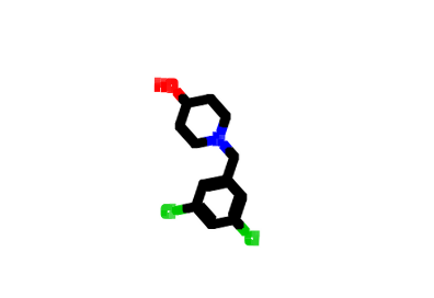 OC1CCN(Cc2cc(Cl)cc(Cl)c2)CC1